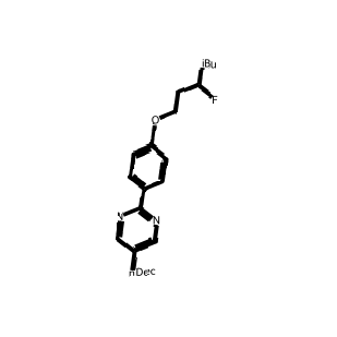 CCCCCCCCCCc1cnc(-c2ccc(OCCC(F)C(C)CC)cc2)nc1